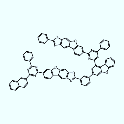 c1ccc(-c2nc(-c3ccc4ccccc4c3)nc(-c3ccc4c(c3)oc3cc5oc(-c6cccc(-c7cc(-c8nc(-c9ccccc9)nc(-c9ccc%10c(c9)oc9cc%11oc(-c%12ccccc%12)nc%11cc9%10)n8)c8c(c7)oc7ccccc78)c6)nc5cc34)n2)cc1